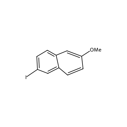 COc1ccc2cc(I)ccc2c1